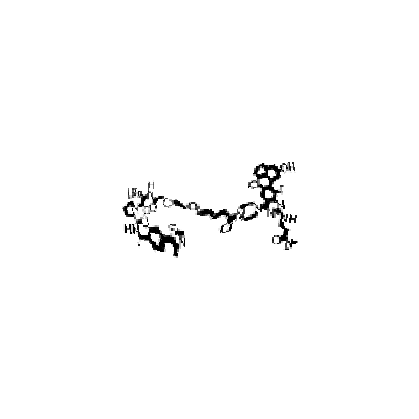 Cc1ncsc1-c1ccc([C@H](C)NC(=O)[C@@H]2CCCN2C(=O)[C@@H](NC(=O)COCCOCC/C=C/C(=O)N2CCN(c3nc(NCCC(=O)N(C)C)nc4c(F)c(-c5cc(O)cc6ccccc56)c(Cl)cc34)CC2)C(C)(C)C)cc1